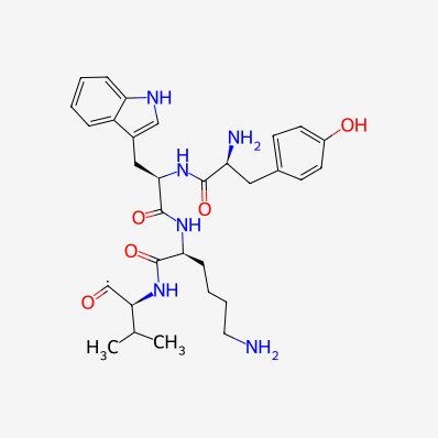 CC(C)[C@@H]([C]=O)NC(=O)[C@H](CCCCN)NC(=O)[C@@H](Cc1c[nH]c2ccccc12)NC(=O)[C@@H](N)Cc1ccc(O)cc1